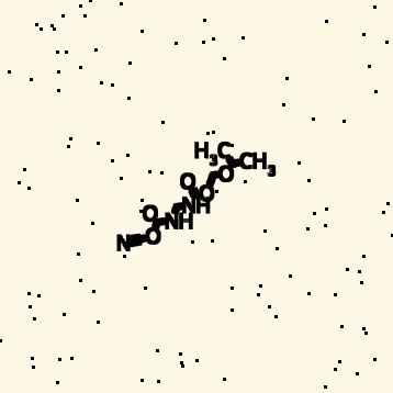 CC(C)OCOC(=O)NCNC(=O)OC#N